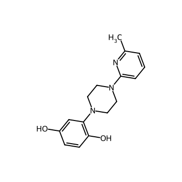 Cc1cccc(N2CCN(c3cc(O)ccc3O)CC2)n1